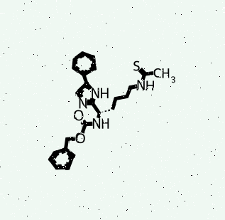 CC(=S)NCCCC[C@H](NC(=O)OCc1ccccc1)c1ncc(-c2ccccc2)[nH]1